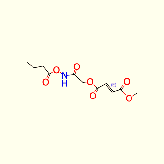 CCCC(=O)ONC(=O)COC(=O)/C=C/C(=O)OC